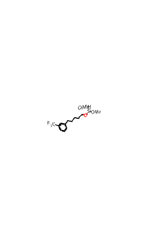 CO[SiH](OC)OCCCCCc1cccc(C(F)(F)F)c1